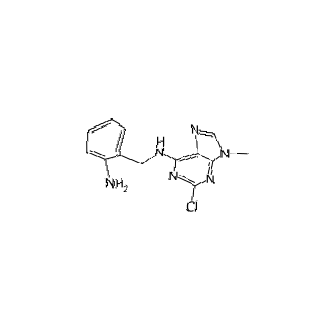 Cn1cnc2c(NCc3ccccc3N)nc(Cl)nc21